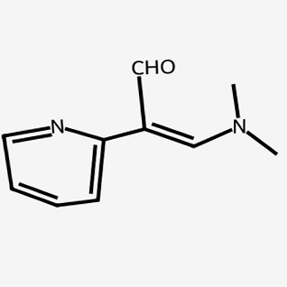 CN(C)/C=C(\C=O)c1ccccn1